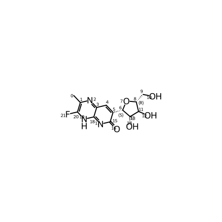 Cc1nc2cc([C@@H]3O[C@H](CO)C(O)[C@@H]3O)c(=O)nc-2[nH]c1F